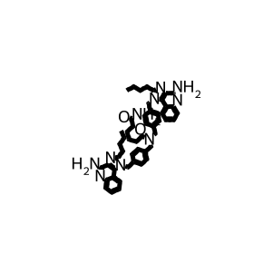 CCCCc1nc2c(N)nc3ccccc3c2n1Cc1ccc(CN(Cc2ccc(Cn3c(CCCC)nc4c(N)nc5ccccc5c43)cc2)C(=O)CCCCC(N)=O)cc1